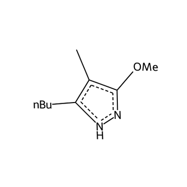 CCCCc1[nH]nc(OC)c1C